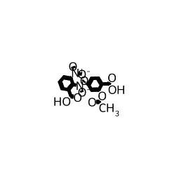 CC(=O)Oc1ccccc1C(=O)O.O=C(O)c1cccc([N+](=O)[O-])c1[N+](=O)[O-]